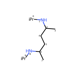 CC(C)NC(C)CCC(C)NC(C)C